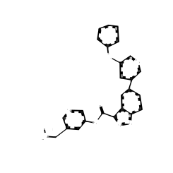 CN(C)Cc1cncc(NC(=O)c2n[nH]c3ccc(-c4cncc(Oc5ccccc5)c4)cc23)c1